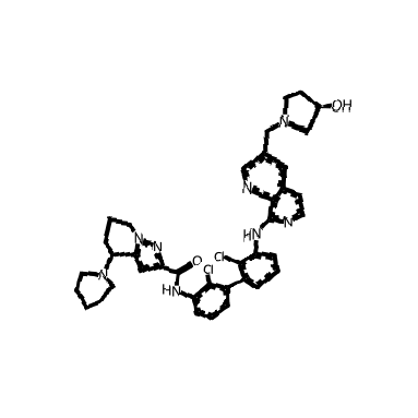 O=C(Nc1cccc(-c2cccc(Nc3nccc4cc(CN5CC[C@@H](O)C5)cnc34)c2Cl)c1Cl)c1cc2n(n1)CCCC2N1CCCCC1